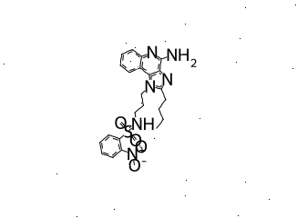 CCCCc1nc2c(N)nc3ccccc3c2n1CCCNS(=O)(=O)c1ccccc1[N+](=O)[O-]